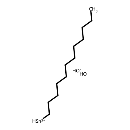 CCCCCCCCCCC[CH2][SnH+2].[OH-].[OH-]